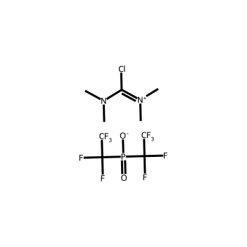 CN(C)C(Cl)=[N+](C)C.O=P([O-])(C(F)(F)C(F)(F)F)C(F)(F)C(F)(F)F